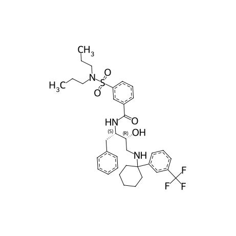 CCCN(CCC)S(=O)(=O)c1cccc(C(=O)N[C@@H](Cc2ccccc2)[C@H](O)CNC2(c3cccc(C(F)(F)F)c3)CCCCC2)c1